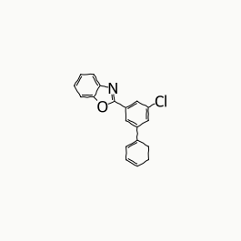 Clc1cc(C2=CC=CCC2)cc(-c2nc3ccccc3o2)c1